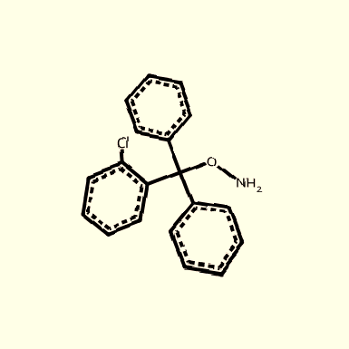 NOC(c1ccccc1)(c1ccccc1)c1ccccc1Cl